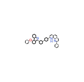 C1=CCC(Oc2cccc3c(-c4cccc(-c5ccc(C6C=CC7=C(N6)C6N=C(C8C=CC=CC8)C=CC6C=C7)cc5)c4)nc4ccccc4c23)C=C1